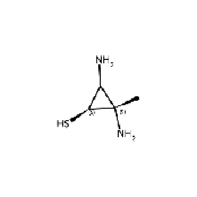 C[C@]1(N)C(N)[C@@H]1S